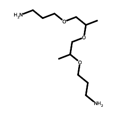 CC(COCCCN)OCC(C)OCCCN